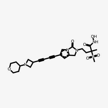 CC(CCN1Cc2cc(C#CC#CC3CN(C4CCOCC4)C3)cn2C1=O)(C(=O)NO)S(C)(=O)=O